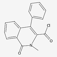 Cn1c(C(=O)Cl)c(-c2ccccc2)c2ccccc2c1=O